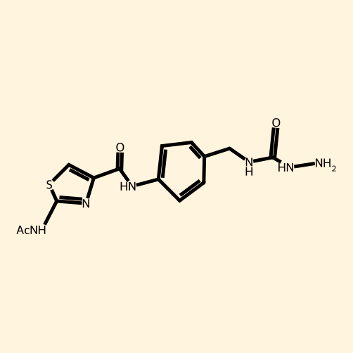 CC(=O)Nc1nc(C(=O)Nc2ccc(CNC(=O)NN)cc2)cs1